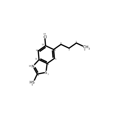 CCCCc1cc2sc(S)nc2cc1Cl